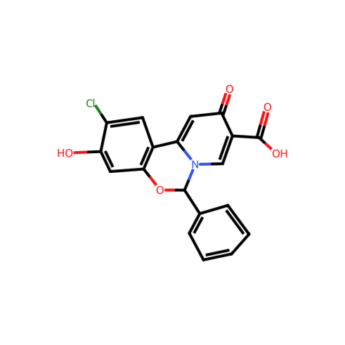 O=C(O)c1cn2c(cc1=O)-c1cc(Cl)c(O)cc1OC2c1ccccc1